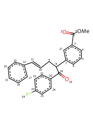 COC(=O)c1cccc(C(C/C=C/c2ccccc2)C(=O)c2ccc(F)cc2)c1